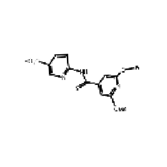 COc1cc(C(=S)Nc2ccc(C(=O)O)cn2)cc(OC(C)C)n1